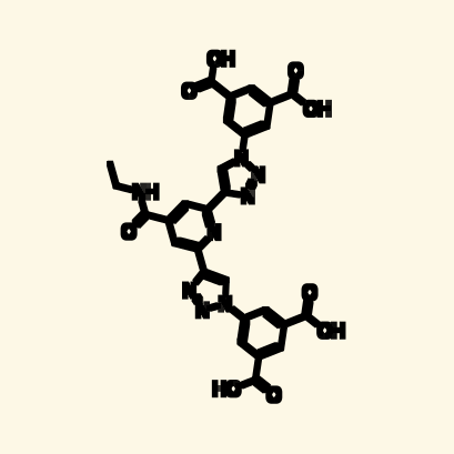 CCNC(=O)c1cc(-c2cn(-c3cc(C(=O)O)cc(C(=O)O)c3)nn2)nc(-c2cn(-c3cc(C(=O)O)cc(C(=O)O)c3)nn2)c1